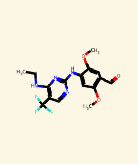 CCNc1nc(Nc2cc(OC)c(C=O)cc2OC)ncc1C(F)(F)F